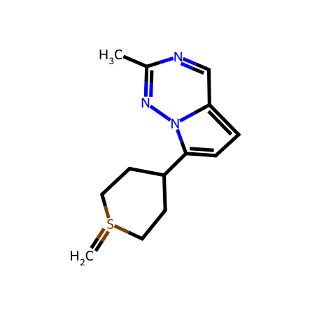 C=S1CCC(c2ccc3cnc(C)nn23)CC1